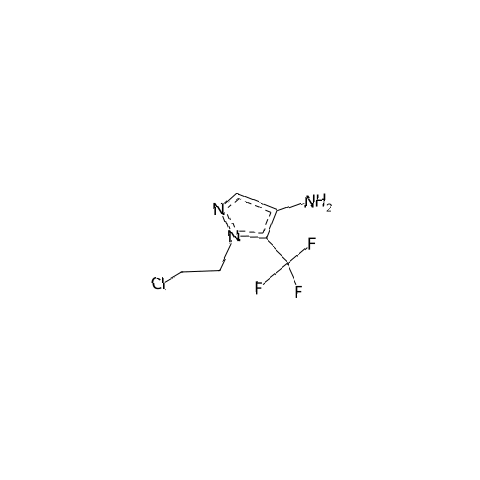 Nc1cnn(CCCl)c1C(F)(F)F